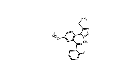 Cc1ncc(CN)n1-c1ccc(Cl)cc1C(=O)c1ccccc1F.Cl.Cl